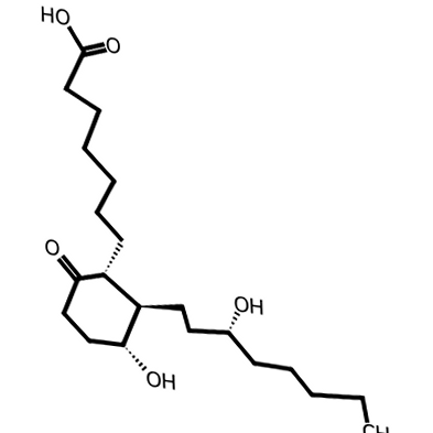 CCCCC[C@@H](O)CC[C@H]1[C@H](O)CCC(=O)[C@@H]1CCCCCCC(=O)O